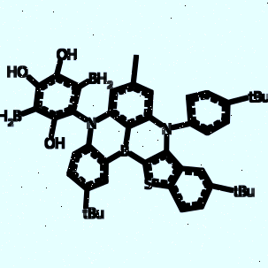 Bc1c(O)c(O)c(B)c(N2c3ccc(C(C)(C)C)cc3B3c4sc5ccc(C(C)(C)C)cc5c4N(c4ccc(C(C)(C)C)cc4)c4cc(C)cc2c43)c1O